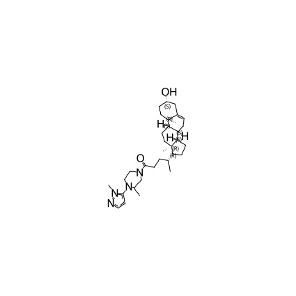 CC(CCC(=O)N1CCN(c2ccnn2C)C(C)C1)[C@H]1CC[C@H]2[C@@H]3CC=C4C[C@@H](O)CC[C@]4(C)[C@H]3CC[C@]12C